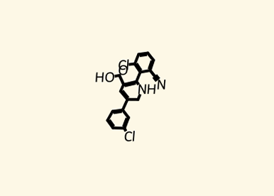 N#Cc1cccc(Cl)c1C1=C(C(=O)O)C=C(c2cccc(Cl)c2)CN1